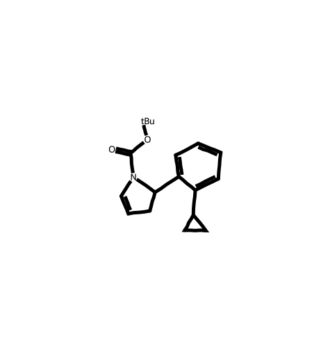 CC(C)(C)OC(=O)N1C=CCC1c1ccccc1C1CC1